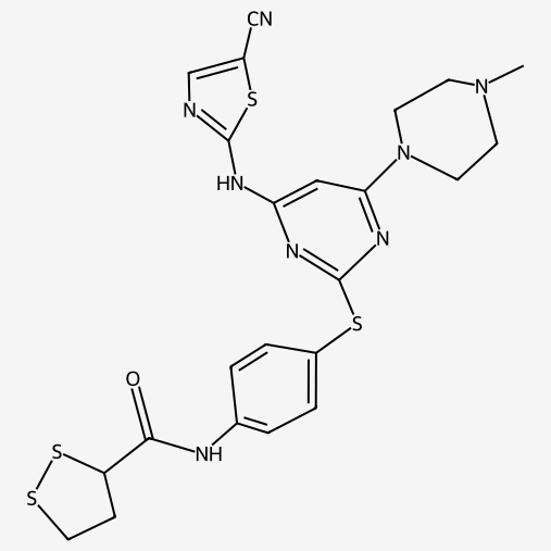 CN1CCN(c2cc(Nc3ncc(C#N)s3)nc(Sc3ccc(NC(=O)C4CCSS4)cc3)n2)CC1